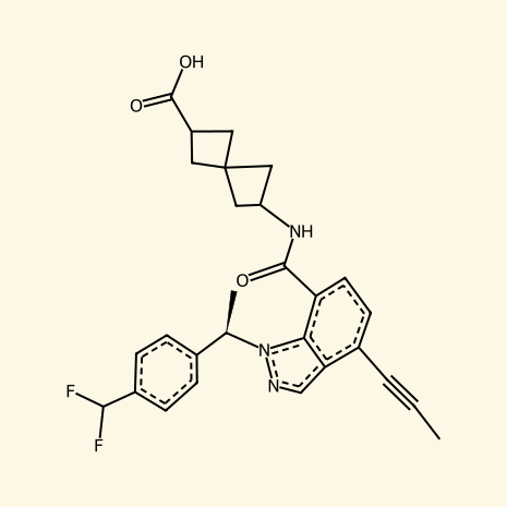 CC#Cc1ccc(C(=O)NC2CC3(C2)CC(C(=O)O)C3)c2c1cnn2[C@H](C)c1ccc(C(F)F)cc1